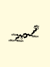 CCCCCCCCCN(CCCCC(=O)OCCCC)CCC1CCN(C(=O)CN(CCCCCCCCC)CCN(CCCCCCCCC)CCCCCCCCC)CC1